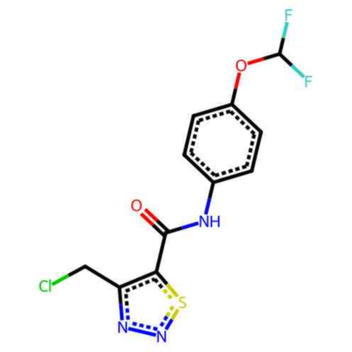 O=C(Nc1ccc(OC(F)F)cc1)c1snnc1CCl